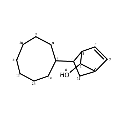 OC1C2C=CC1C(C1CCCCCCC1)C2